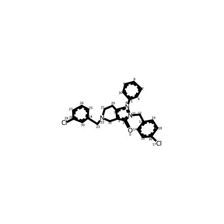 O=c1c2c(n(-c3ccccc3)n1Cc1ccc(Cl)cc1)CCN(Cc1cccc(Cl)c1)C2